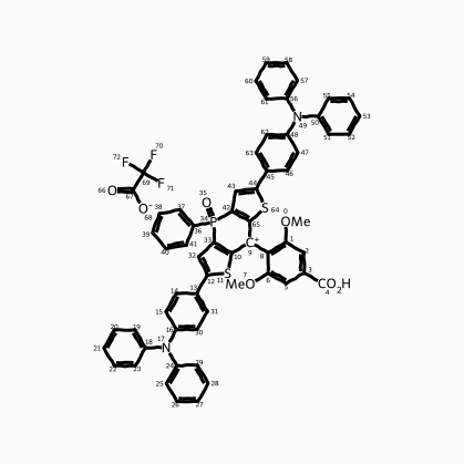 COc1cc(C(=O)O)cc(OC)c1[C+]1c2sc(-c3ccc(N(c4ccccc4)c4ccccc4)cc3)cc2P(=O)(c2ccccc2)c2cc(-c3ccc(N(c4ccccc4)c4ccccc4)cc3)sc21.O=C([O-])C(F)(F)F